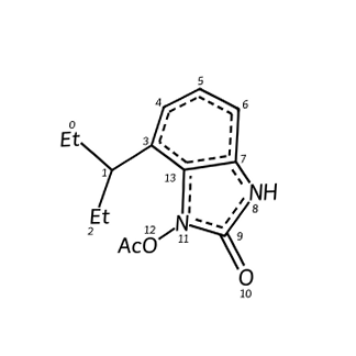 CCC(CC)c1cccc2[nH]c(=O)n(OC(C)=O)c12